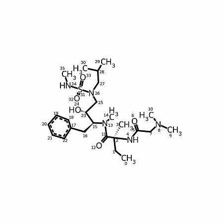 CC[C@](C)(NC(=O)CN(C)C)C(=O)N(C)[C@@H](Cc1ccccc1)[C@H](O)CN(CC(C)C)S(=O)(=O)NC